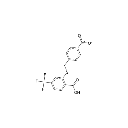 O=C(O)c1ccc(C(F)(F)F)cc1SCc1ccc([N+](=O)[O-])cc1